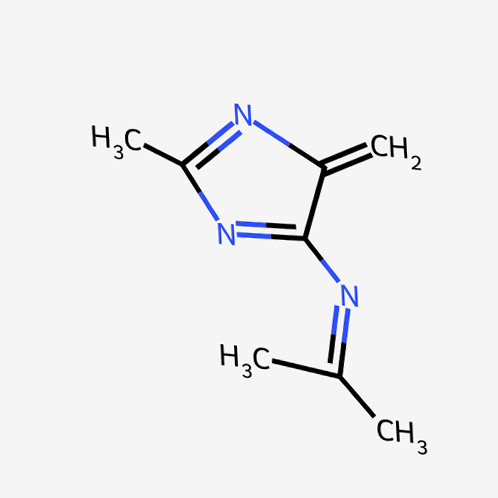 C=C1N=C(C)N=C1N=C(C)C